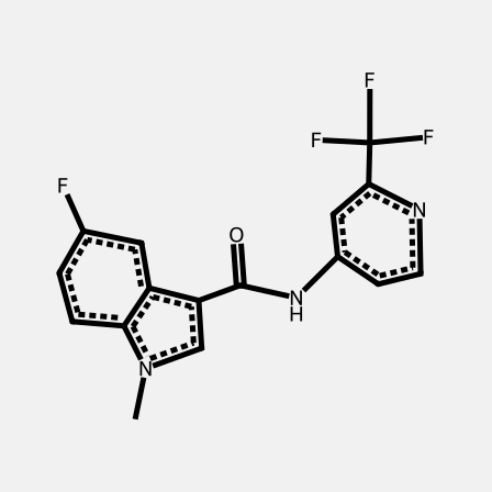 Cn1cc(C(=O)Nc2ccnc(C(F)(F)F)c2)c2cc(F)ccc21